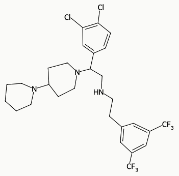 FC(F)(F)c1cc(CCNCC(c2ccc(Cl)c(Cl)c2)N2CCC(N3CCCCC3)CC2)cc(C(F)(F)F)c1